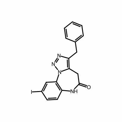 O=C1Cc2c(Cc3ccccc3)nnn2-c2cc(I)ccc2N1